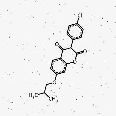 CC(C)COc1ccc2c(c1)OC(=O)C(c1ccc(Cl)cc1)C2=O